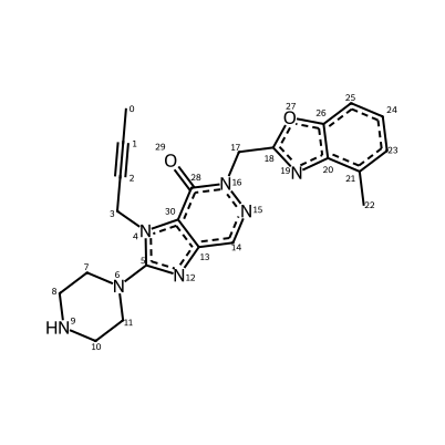 CC#CCn1c(N2CCNCC2)nc2cnn(Cc3nc4c(C)cccc4o3)c(=O)c21